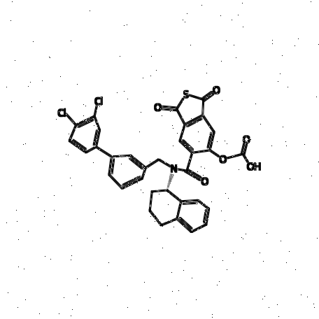 O=C(O)Oc1cc2c(cc1C(=O)N(Cc1cccc(-c3ccc(Cl)c(Cl)c3)c1)[C@H]1CCCc3ccccc31)C(=O)SC2=O